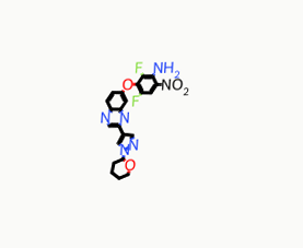 Nc1c([N+](=O)[O-])cc(F)c(Oc2ccc3ncc(-c4cnn(C5CCCCO5)c4)nc3c2)c1F